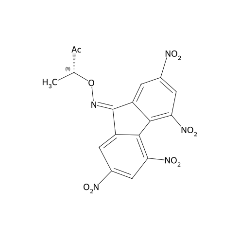 CC(=O)[C@@H](C)ON=C1c2cc([N+](=O)[O-])cc([N+](=O)[O-])c2-c2c1cc([N+](=O)[O-])cc2[N+](=O)[O-]